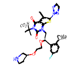 COc1ccc(F)cc1[C@H](Cn1c(=O)n(C(C)(C)C(=O)O)c(=O)c2c(C)c(-n3nccn3)sc21)OCCOC1CCNC1